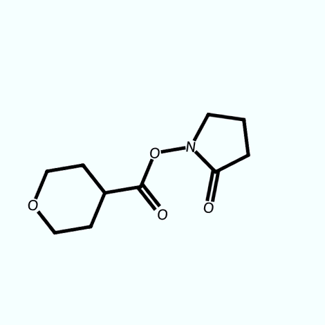 O=C(ON1CCCC1=O)C1CCOCC1